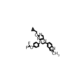 Cn1cc2cc(C3=Nc4cnc(OCC5CC5)nc4N(c4ccc(OC(F)F)cc4)C3)ccc2n1